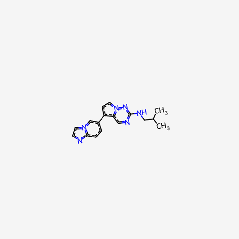 CC(C)CNc1ncc2c(-c3ccc4nccn4c3)ccn2n1